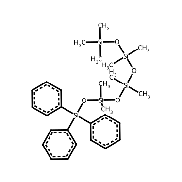 C[Si](C)(C)O[Si](C)(C)O[Si](C)(C)O[Si](C)(C)O[Si](c1ccccc1)(c1ccccc1)c1ccccc1